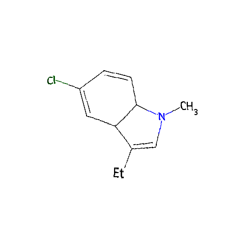 CCC1=CN(C)C2C=CC(Cl)=CC12